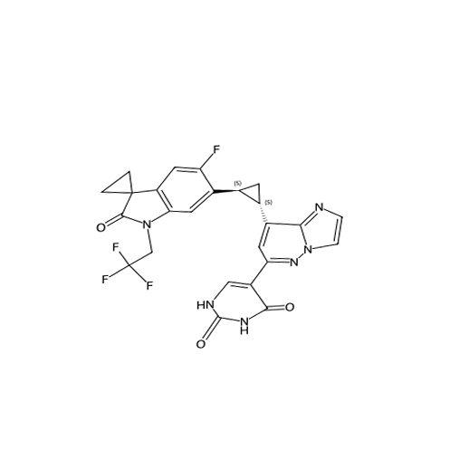 O=C1N(CC(F)(F)F)c2cc([C@H]3C[C@@H]3c3cc(-c4c[nH]c(=O)[nH]c4=O)nn4ccnc34)c(F)cc2C12CC2